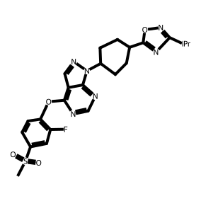 CC(C)c1noc(C2CCC(n3ncc4c(Oc5ccc(S(C)(=O)=O)cc5F)ncnc43)CC2)n1